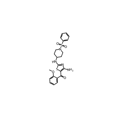 COc1ccccc1C(=O)c1sc(NC2CCN(S(=O)(=O)c3ccccc3)CC2)nc1N